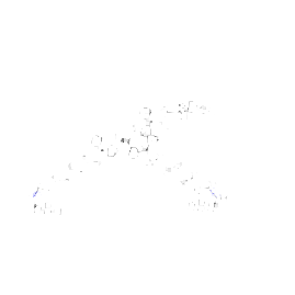 CCCC/C=C\CCCCCCCC(=O)OC[C@@H](COC(=O)CCCCCCCCCCCCC)OC(=O)CCCCCCC/C=C\CCCC